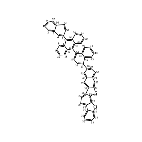 c1ccc2cc(-c3c4ccccc4c(-c4ccc(-c5ccc6cc7sc8c(ccc9c%10ccccc%10oc98)c7cc6c5)c5ccccc45)c4ccccc34)ccc2c1